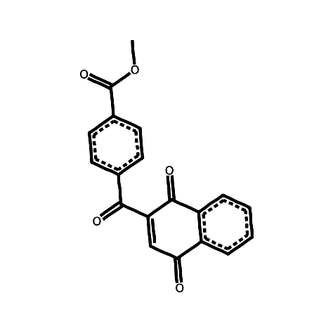 COC(=O)c1ccc(C(=O)C2=CC(=O)c3ccccc3C2=O)cc1